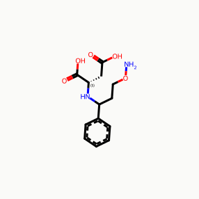 NOCCC(N[C@@H](CC(=O)O)C(=O)O)c1ccccc1